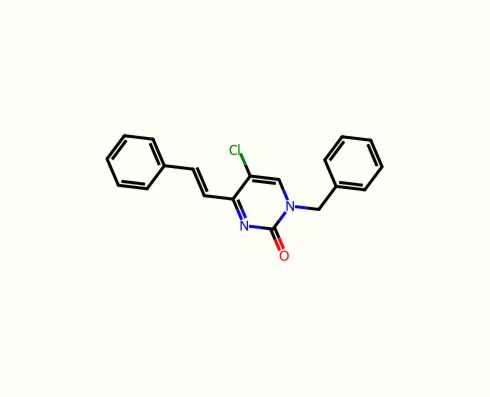 O=c1nc(C=Cc2ccccc2)c(Cl)cn1Cc1ccccc1